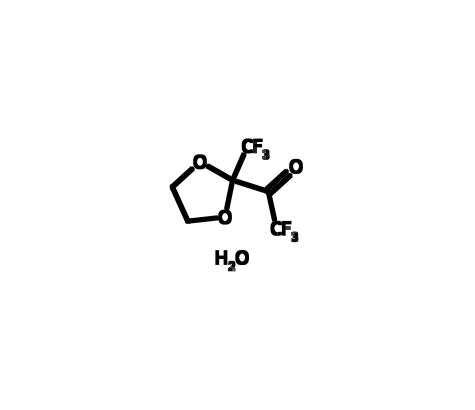 O.O=C(C(F)(F)F)C1(C(F)(F)F)OCCO1